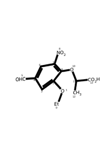 CCOc1cc(C=O)cc([N+](=O)[O-])c1OC(C)C(=O)O